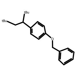 CC(C)(C)CC(c1ccc(OCc2ccccc2)cc1)C(C)(C)C